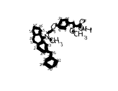 COC(Cc1ccc(OCCN(C)C2c3ccccc3CCc3ccc(Cc4ccccc4)cc32)cc1)C(=O)O